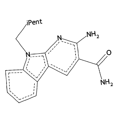 CCCC(C)Cn1c2ccccc2c2cc(C(N)=O)c(N)nc21